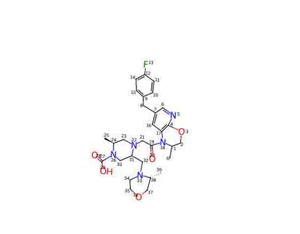 CC1COc2ncc(Cc3ccc(F)cc3)cc2N1C(=O)CN1C[C@H](C)N(C(=O)O)CC1CN1CCOC[C@H]1C